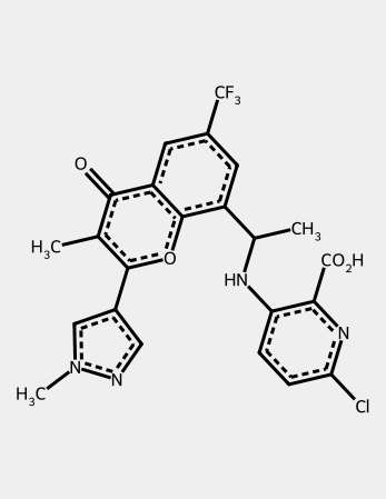 Cc1c(-c2cnn(C)c2)oc2c(C(C)Nc3ccc(Cl)nc3C(=O)O)cc(C(F)(F)F)cc2c1=O